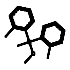 CO[Si](C)(c1ccccc1C)c1ccccc1C